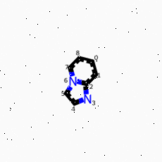 [c]1[c]c2nccn2cc1